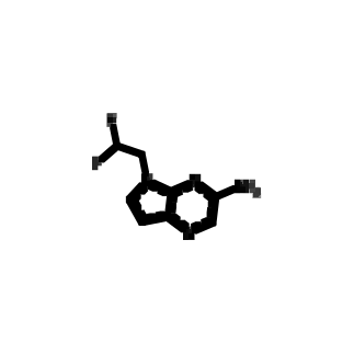 Nc1cnc2ccn(CC(F)F)c2n1